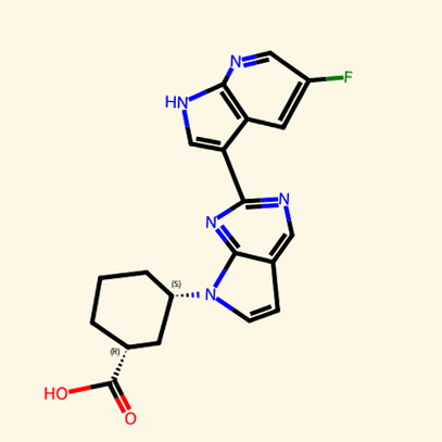 O=C(O)[C@@H]1CCC[C@H](n2ccc3cnc(-c4c[nH]c5ncc(F)cc45)nc32)C1